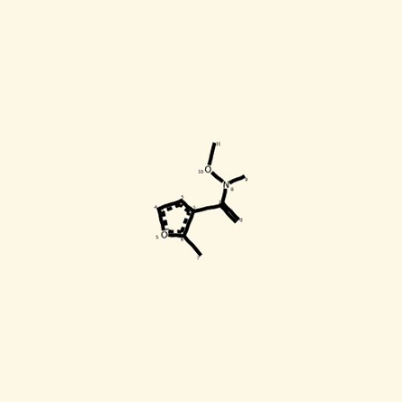 C=C(c1ccoc1C)N(C)OC